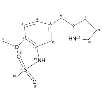 COc1ccc(CC2CCCN2)cc1NS(C)(=O)=O